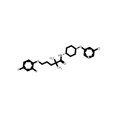 CC(C)(CCCOc1ccc(F)cc1F)C(=O)N[C@H]1CC[C@H](Oc2cncc(Cl)c2)CC1